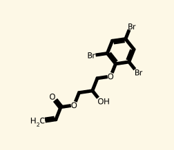 C=CC(=O)OCC(O)COc1c(Br)cc(Br)cc1Br